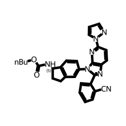 CCCCOC(=O)N[C@H]1CCc2cc(-n3c(-c4ccccc4C#N)nc4ccc(-n5cccn5)nc43)ccc21